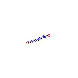 COc1ccc(/N=N/c2ccc(N3CCN(c4ccc(/N=N/c5ccc(OC)cc5)cc4)CC3)cc2)cc1